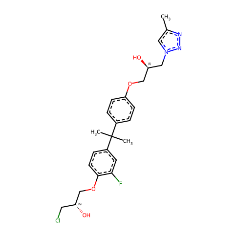 Cc1cn(C[C@H](O)COc2ccc(C(C)(C)c3ccc(OC[C@H](O)CCl)c(F)c3)cc2)nn1